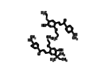 C=CCc1cc(/C=C/C(=O)c2ccc(NC)cc2)c(OCCC)cc1O.CCCOc1cc(O)c(C(C)(C)CC)cc1/C=C/C(=O)c1ccc(NC)cc1